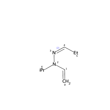 C=CN(/N=C\CC)C(C)C